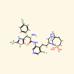 N[C@H](C(=O)Nc1cncc(F)c1CC[C@H]1CN[C@@H]2CCCS(O)(O)N1C2)[C@@H](c1ccc(Cl)cc1)c1csc(C(F)(F)F)n1